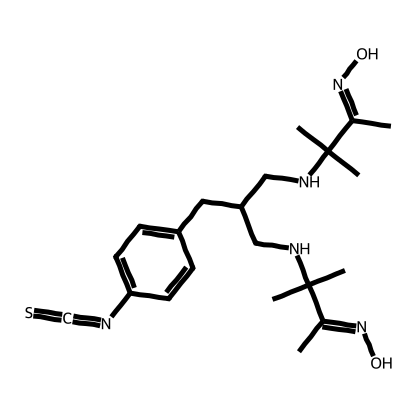 C/C(=N\O)C(C)(C)NCC(CNC(C)(C)/C(C)=N/O)Cc1ccc(N=C=S)cc1